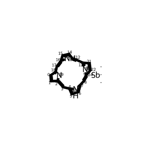 C1=Cc2cc3ccc(cc4nc(cc5ccc(cc1n2)[nH]5)C=C4)[nH]3.[Sb]